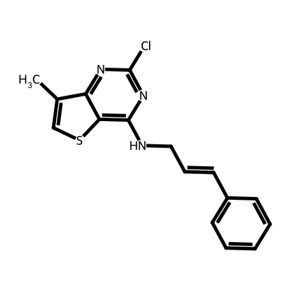 Cc1csc2c(NCC=Cc3ccccc3)nc(Cl)nc12